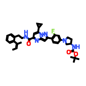 C/C=C(/C)c1ccccc1CCNC(=O)c1cc(C2CC2)n2nc(-c3ccc(N4CC[C@@H](NC(=O)OC(C)(C)C)C4)cc3F)cc2n1